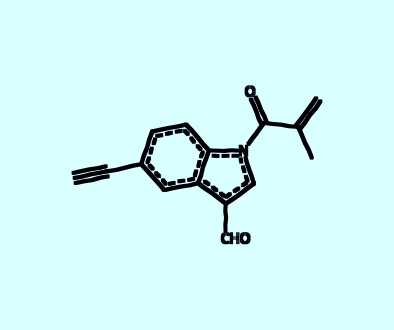 C#Cc1ccc2c(c1)c(C=O)cn2C(=O)C(=C)C